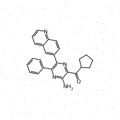 Nc1nc(-c2ccccc2)c(-c2ccc3ncccc3c2)nc1C(=O)C1CCCC1